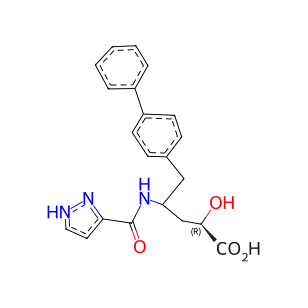 O=C(NC(Cc1ccc(-c2ccccc2)cc1)C[C@@H](O)C(=O)O)c1cc[nH]n1